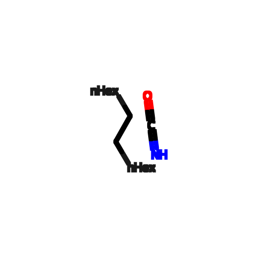 CCCCCCCCCCCCCC.N=C=O